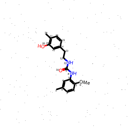 COc1ccc(C)cc1NC(=O)NCCc1ccc(C)c(O)c1